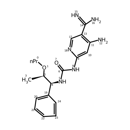 CCCO[C@H](C)[C@@H](NC(=O)Nc1cc(N)c(C(=N)N)cn1)c1ccccc1